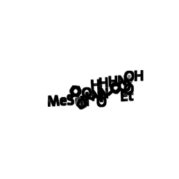 CC[C@H]1OC[C@@H](O)Nc2ccc(CNC(=O)NCC(=O)N3CCC[C@@H]3c3ccccc3SC)cc21